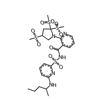 CCCC(C)Nc1cccc(S(=O)(=O)NC(=O)c2cccnc2N2CC(S(C)(=O)=O)CC2(S(C)(=O)=O)S(C)(=O)=O)n1